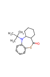 CC(C)(C)N1c2ccccc2SC(=O)C2CCCCC21